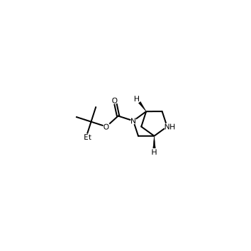 CCC(C)(C)OC(=O)N1C[C@@H]2C[C@H]1CN2